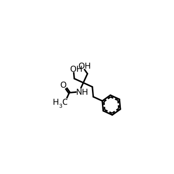 CC(=O)NC(CO)(CO)CCc1ccccc1